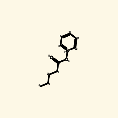 CCCCC(=O)O[n+]1ccccc1